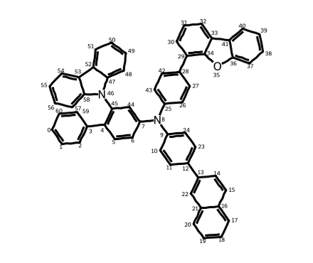 c1ccc(-c2ccc(N(c3ccc(-c4ccc5ccccc5c4)cc3)c3ccc(-c4cccc5c4oc4ccccc45)cc3)cc2-n2c3ccccc3c3ccccc32)cc1